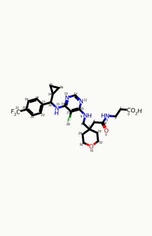 O=C(O)CCNC(=O)CC1(CNc2ncnc(NC(c3ccc(C(F)(F)F)cc3)C3CC3)c2F)CCOCC1